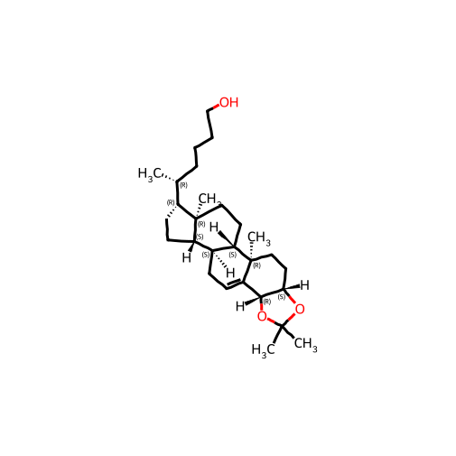 C[C@H](CCCCO)[C@H]1CC[C@H]2[C@@H]3CC=C4[C@H]5OC(C)(C)O[C@H]5CC[C@]4(C)[C@H]3CC[C@]12C